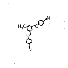 Cc1cc(COc2ccc(C#N)cc2)cc(COc2ccc(C#N)cc2)c1